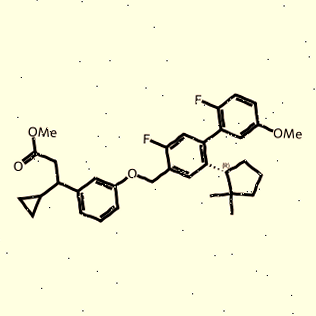 COC(=O)CC(c1cccc(OCc2cc([C@@H]3CCCC3(C)C)c(-c3cc(OC)ccc3F)cc2F)c1)C1CC1